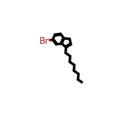 CCCCCCCCC1=CCc2ccc(Br)cc21